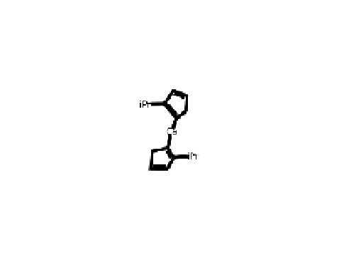 CC(C)C1=[C]([Ca][C]2=C(C(C)C)C=CC2)CC=C1